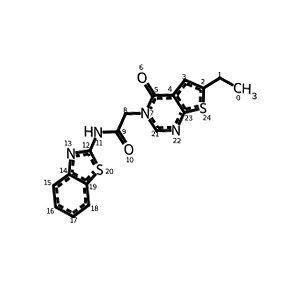 CCc1cc2c(=O)n(CC(=O)Nc3nc4ccccc4s3)cnc2s1